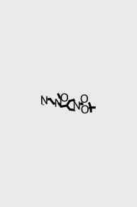 CC(=O)N(CCN(C)C)CC1CCN(C(=O)OC(C)(C)C)CC1